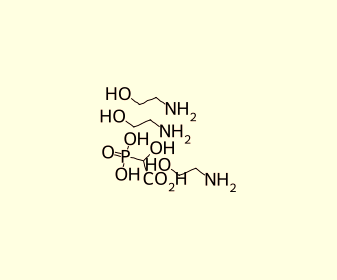 NCCO.NCCO.NCCO.O=C(O)C(O)P(=O)(O)O